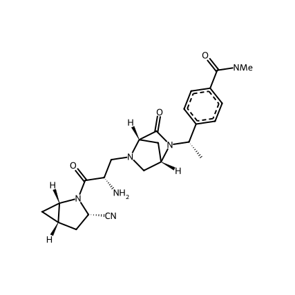 CNC(=O)c1ccc([C@H](C)N2C(=O)[C@@H]3C[C@H]2CN3C[C@H](N)C(=O)N2[C@H](C#N)C[C@@H]3C[C@@H]32)cc1